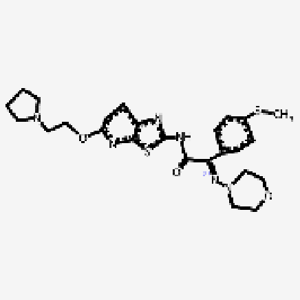 CSc1ccc(/C(=N\N2CCOCC2)C(=O)Nc2nc3ccc(OCCN4CCCC4)nc3s2)cc1